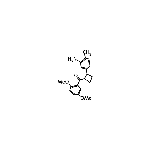 COc1ccc(OC)c(C(=O)C2CCC2c2ccc(C)c(N)c2)c1